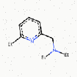 CCc1cccc(CN(CC)CC)n1